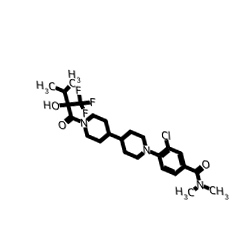 CC(C)C(O)(C(=O)N1CCC(C2CCN(c3ccc(C(=O)N(C)C)cc3Cl)CC2)CC1)C(F)(F)F